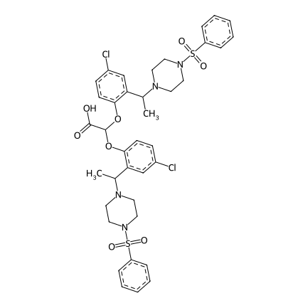 CC(c1cc(Cl)ccc1OC(Oc1ccc(Cl)cc1C(C)N1CCN(S(=O)(=O)c2ccccc2)CC1)C(=O)O)N1CCN(S(=O)(=O)c2ccccc2)CC1